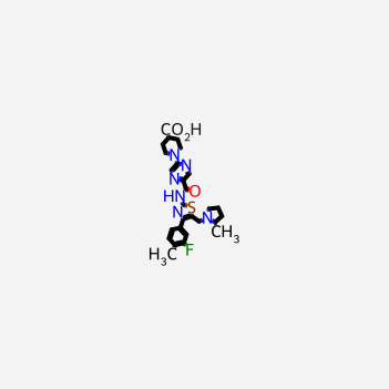 Cc1ccc(-c2nc(NC(=O)c3cnc(N4CCC(C(=O)O)CC4)cn3)sc2CN2CCC[C@H]2C)cc1F